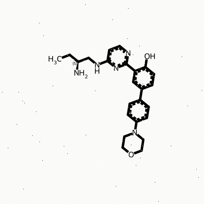 CC[C@H](N)CNc1ccnc(-c2cc(-c3ccc(N4CCOCC4)cc3)ccc2O)n1